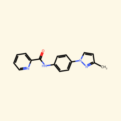 Cc1ccn(-c2ccc(NC(=O)c3ccccn3)cc2)n1